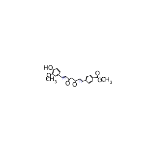 COC(=O)c1ccc(/C=C/C(=O)CC(=O)/C=C/c2ccc(O)c(OC)c2)cc1